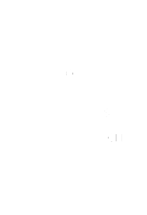 CSC1CCCCO1